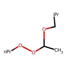 [CH2]CCOOC(C)OCC(C)C